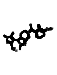 COc1cccc(C(=O)N2CCc3c(nn(C)c3-c3c(C(F)(F)F)nn(C)c3C)C2)c1C